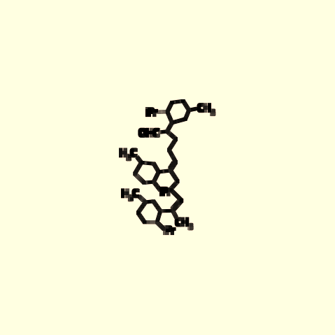 CC(=CCCC(=CCCC(C=O)C1CC(C)CCC1C(C)C)C1CC(C)CCC1C(C)C)C1CC(C)CCC1C(C)C